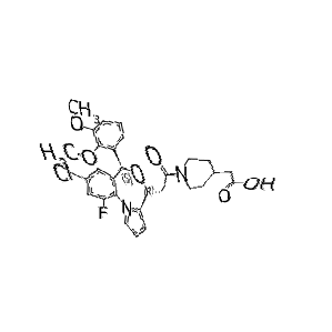 COc1cccc([C@H]2O[C@H](CC(=O)N3CCC(CC(=O)O)CC3)c3cccn3-c3c(F)cc(Cl)cc32)c1OC